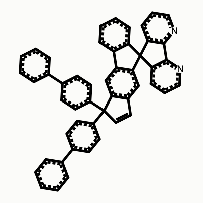 C1=CC(c2ccc(-c3ccccc3)cc2)(c2ccc(-c3ccccc3)cc2)c2cc3c(cc21)C1(c2ccccc2-3)c2cccnc2-c2ncccc21